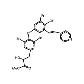 COC(=O)C(O)Cc1cc(Br)c(Oc2cc(C=Cc3ccncc3)c(O)c(C(C)C)c2)c(Br)c1